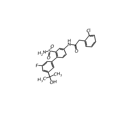 CC(C)(O)c1cc(F)cc(-c2ccc(NC(=O)Cc3ccccc3Cl)cc2S(N)(=O)=O)c1